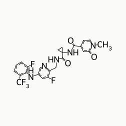 Cn1ccc(C(=O)NC2(C(=O)NCc3ncc(Nc4c(F)cccc4C(F)(F)F)cc3F)CC2)cc1=O